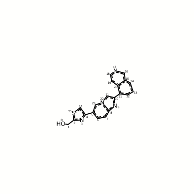 OCc1nc(-c2ccc3nc(-c4cccc5cnccc45)cn3c2)cs1